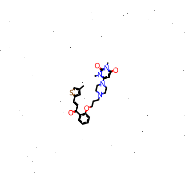 Cc1csc(C=CC(=O)c2ccccc2OCCCN2CCN(c3cc(=O)n(C)c(=O)n3C)CC2)c1